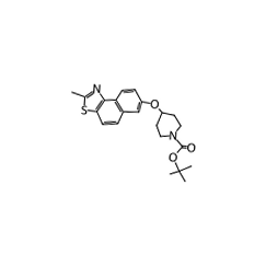 Cc1nc2c(ccc3cc(OC4CCN(C(=O)OC(C)(C)C)CC4)ccc32)s1